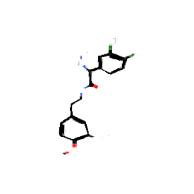 CCOc1ccc(CCNC(=O)C(NSC)c2ccc(Cl)c(Cl)c2)cc1OC